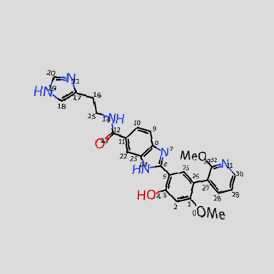 COc1cc(O)c(-c2nc3ccc(C(=O)NCCc4c[nH]cn4)cc3[nH]2)cc1-c1cccnc1OC